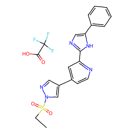 CCS(=O)(=O)n1cc(-c2ccnc(-c3ncc(-c4ccccc4)[nH]3)c2)cn1.O=C(O)C(F)(F)F